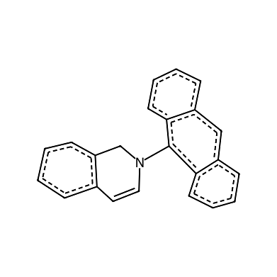 C1=CN(c2c3ccccc3cc3ccccc23)Cc2ccccc21